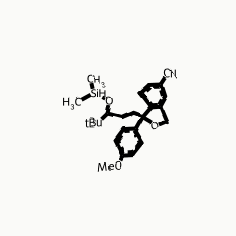 COc1ccc(C2(CCC(O[SiH](C)C)C(C)(C)C)OCc3cc(C#N)ccc32)cc1